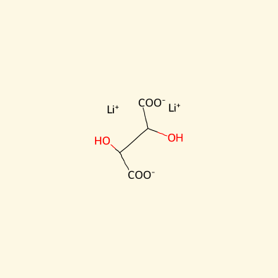 O=C([O-])C(O)C(O)C(=O)[O-].[Li+].[Li+]